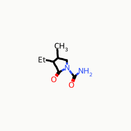 CCC1C(=O)N(C(N)=O)CC1C